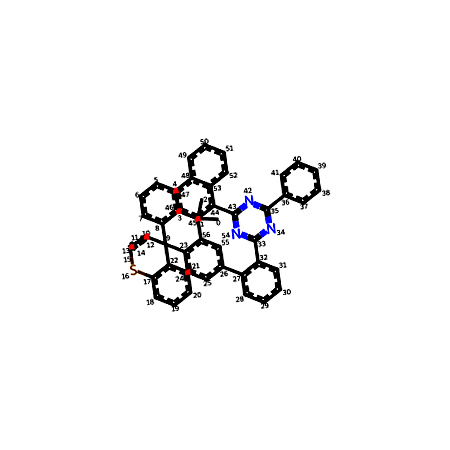 CC1(C)c2ccccc2C2(c3ccccc3Sc3ccccc32)c2ccc(-c3ccccc3-c3nc(-c4ccccc4)nc(-c4cccc5ccccc45)n3)cc21